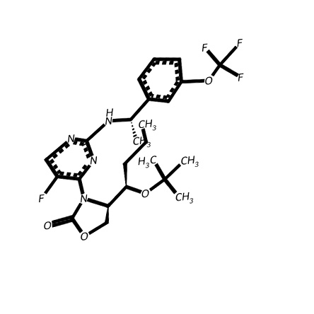 CCC[C@@H](OC(C)(C)C)[C@H]1COC(=O)N1c1nc(N[C@@H](C)c2cccc(OC(F)(F)F)c2)ncc1F